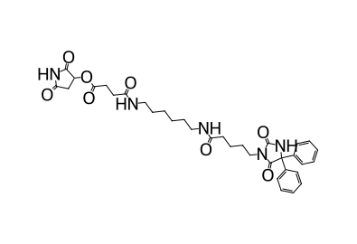 O=C(CCCCN1C(=O)NC(c2ccccc2)(c2ccccc2)C1=O)NCCCCCCNC(=O)CCC(=O)OC1CC(=O)NC1=O